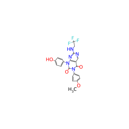 COc1ccc(-n2c(=O)c3cnc(NCC(F)(F)F)nc3n(-c3ccc(O)cc3)c2=O)cc1